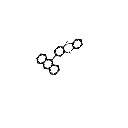 c1ccc2c(c1)Sc1ccc(-c3c4ccccc4cc4ccccc34)cc1S2